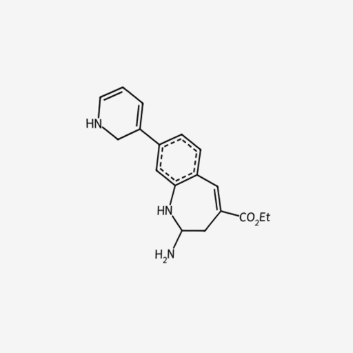 CCOC(=O)C1=Cc2ccc(C3=CC=CNC3)cc2NC(N)C1